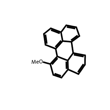 COc1ccc2cccc3c4cccc5cccc(c1c23)c54